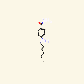 CCCCCCNc1ccc(C(N)=O)cc1